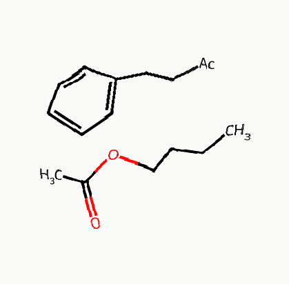 CC(=O)CCc1ccccc1.CCCCOC(C)=O